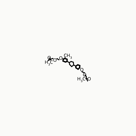 Cc1cc(C2CCC(c3ccc(OCCOCC4(C)CO4)cc3)CC2)ccc1OCCOCC1(C)CO1